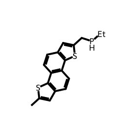 CCPCc1cc2ccc3c(ccc4cc(C)sc43)c2s1